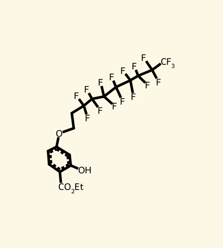 CCOC(=O)c1ccc(OCCC(F)(F)C(F)(F)C(F)(F)C(F)(F)C(F)(F)C(F)(F)C(F)(F)C(F)(F)F)cc1O